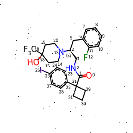 O=C(NC[C@H](Cc1ccccc1F)N1CCC(O)(C(F)(F)F)CC1)C1(c2ccc(I)cc2)CCC1